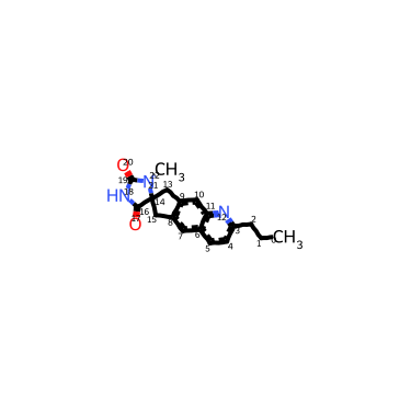 CCCc1ccc2cc3c(cc2n1)CC1(C3)C(=O)NC(=O)N1C